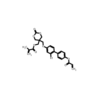 C=CC(=O)Oc1ccc(-c2ccc(OCC3(COC(=O)C(=C)C)COC(=O)OC3)cc2CC)cc1